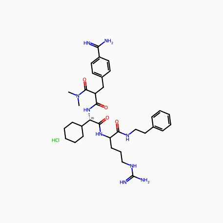 CN(C)C(=O)C(Cc1ccc(C(=N)N)cc1)C(=O)N[C@H](C(=O)NC(CCCNC(=N)N)C(=O)NCCc1ccccc1)C1CCCCC1.Cl